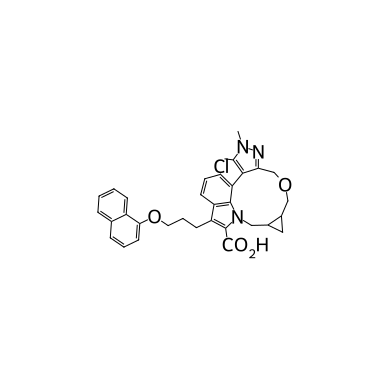 Cc1c2c(nn1C)COCC1CC1Cn1c(C(=O)O)c(CCCOc3cccc4ccccc34)c3ccc(Cl)c-2c31